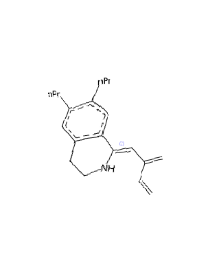 C=CC(=C)/C=C1\NCCc2cc(CCC)c(CCC)cc21